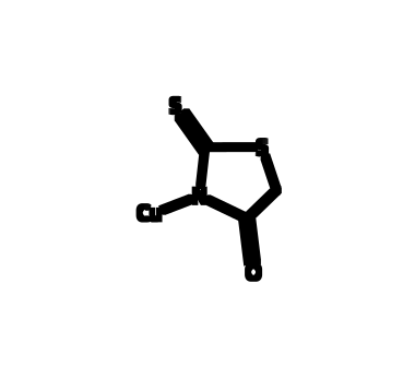 O=C1CSC(=S)[N]1[Cu]